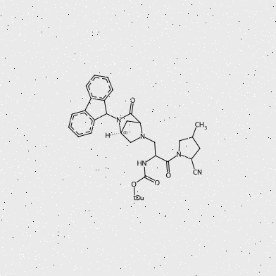 CC1CC(C#N)N(C(=O)C(CN2C[C@@H]3CC2C(=O)N3C2c3ccccc3-c3ccccc32)NC(=O)OC(C)(C)C)C1